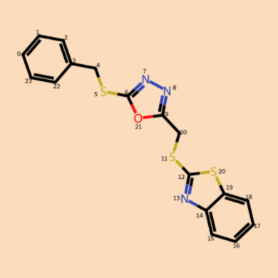 c1ccc(CSc2nnc(CSc3nc4ccccc4s3)o2)cc1